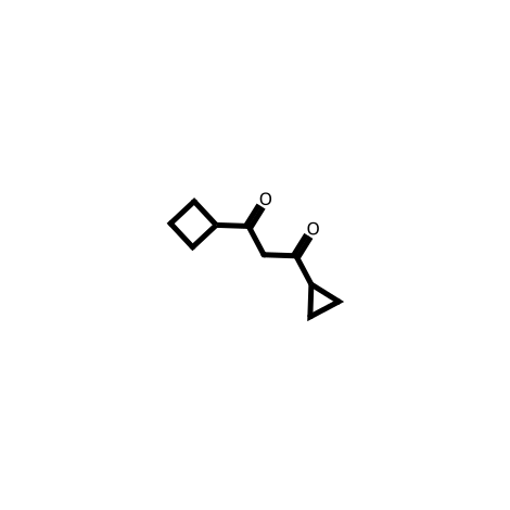 O=C(CC(=O)C1CC1)C1CCC1